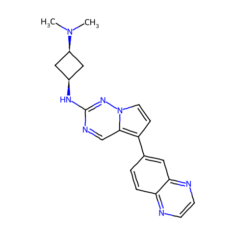 CN(C)[C@H]1C[C@@H](Nc2ncc3c(-c4ccc5nccnc5c4)ccn3n2)C1